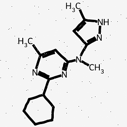 Cc1cc(N(C)c2cc(C)[nH]n2)nc(C2CCCCC2)n1